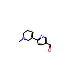 CN1CCC=C(c2ccc(C=O)cn2)C1